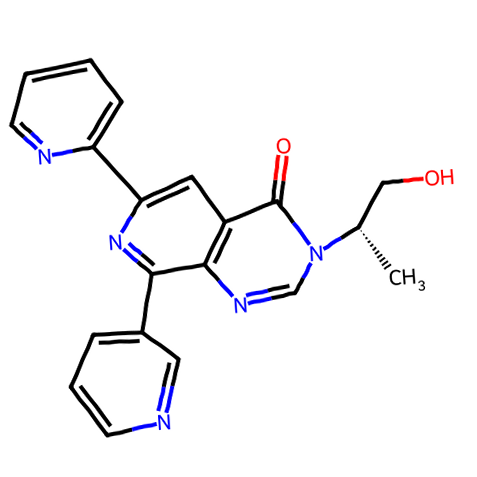 C[C@@H](CO)n1cnc2c(-c3cccnc3)nc(-c3ccccn3)cc2c1=O